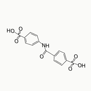 O=C(Nc1ccc(S(=O)(=O)O)cc1)c1ccc(S(=O)(=O)O)cc1